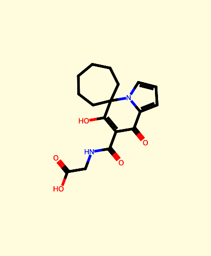 O=C(O)CNC(=O)C1=C(O)C2(CCCCCC2)n2cccc2C1=O